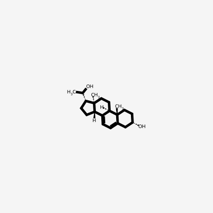 CC(O)[C@H]1CC[C@H]2C3=CC=C4C[C@@H](O)CC[C@@]4(C)[C@@H]3CC[C@]12C